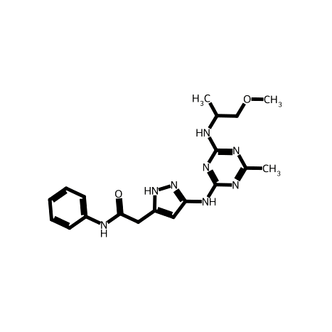 COCC(C)Nc1nc(C)nc(Nc2cc(CC(=O)Nc3ccccc3)[nH]n2)n1